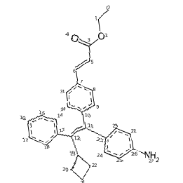 CCOC(=O)/C=C/c1ccc(/C(=C(\c2ccccc2)C2CCC2)c2ccc(N)cc2)cc1